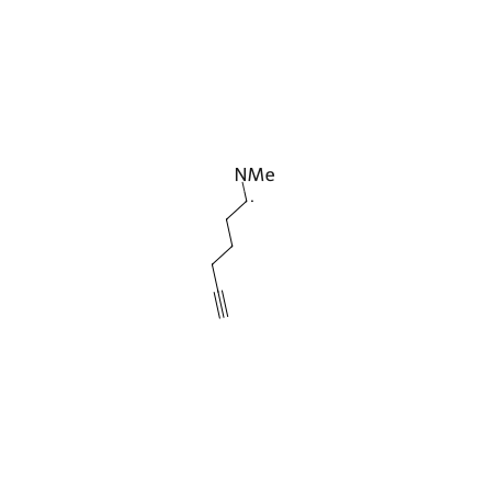 C#CCCC[CH]NC